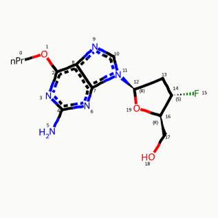 CCCOc1nc(N)nc2c1ncn2[C@H]1C[C@H](F)[C@@H](CO)O1